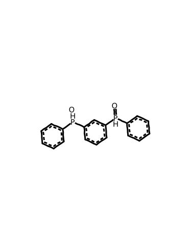 O=[PH](c1ccccc1)c1cccc([PH](=O)c2ccccc2)c1